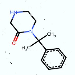 CC(C)(c1ccccc1)N1CCNCC1=O